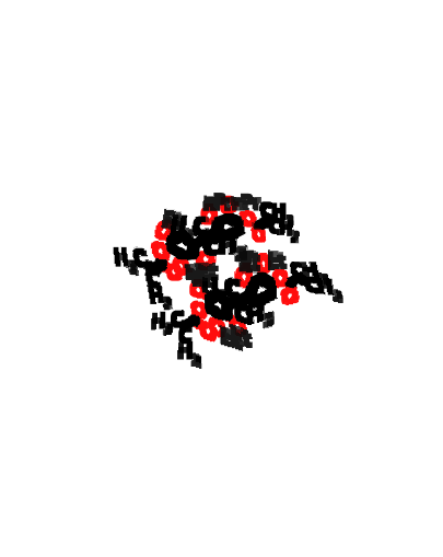 C=C(C)C(=O)Oc1ccc(C(C)(C)c2cc(OCC)c(OC(=O)C(=C)C)c(OCC)c2OCC)c(OCC)c1OCC.C=C(C)C(=O)Oc1ccc(C(C)(C)c2cc(OCC)c(OC(=O)C(=C)C)c(OCC)c2OCC)c(OCCC)c1OCCC